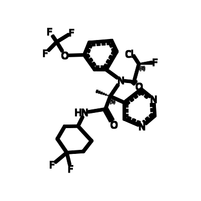 C[C@@](C(=O)NC1CCC(F)(F)CC1)(c1cncnc1)N(C(=O)[C@H](F)Cl)c1cccc(OC(F)(F)F)c1